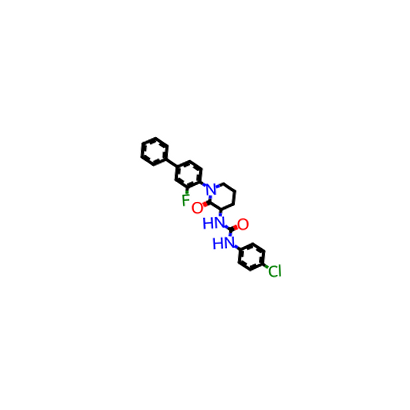 O=C(Nc1ccc(Cl)cc1)NC1CCCN(c2ccc(-c3ccccc3)cc2F)C1=O